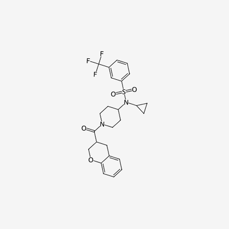 O=C(C1COc2ccccc2C1)N1CCC(N(C2CC2)S(=O)(=O)c2cccc(C(F)(F)F)c2)CC1